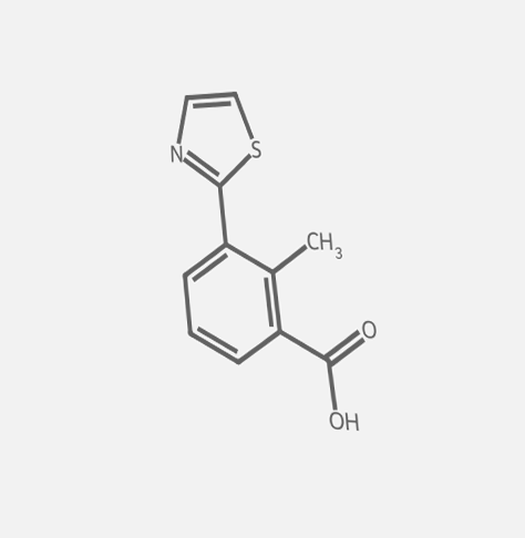 Cc1c(C(=O)O)cccc1-c1nccs1